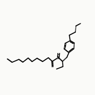 C=C(CCCCCCCCC)NC(CC)Cc1ccc(CCCC)cc1